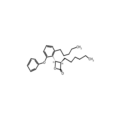 CCCCCC[C@H]1C(=O)O[C@@H]1c1c(CCCCC)[c]ccc1Oc1ccccc1